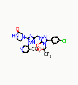 O=C1CN(c2nc(Cn3nc(-c4ccc(Cl)cc4)n(C[C@H](O)C(F)(F)F)c3=O)nn2-c2cnccc2C(=O)O)CCN1